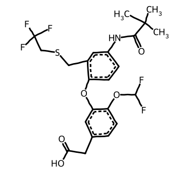 CC(C)(C)C(=O)Nc1ccc(Oc2cc(CC(=O)O)ccc2OC(F)F)c(CSCC(F)(F)F)c1